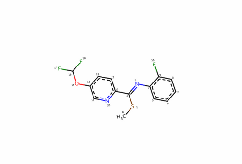 CS/C(=N\c1ccccc1F)c1ccc(OC(F)F)cn1